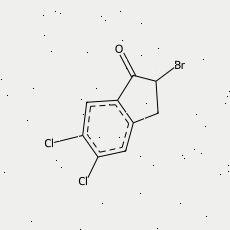 O=C1c2cc(Cl)c(Cl)cc2CC1Br